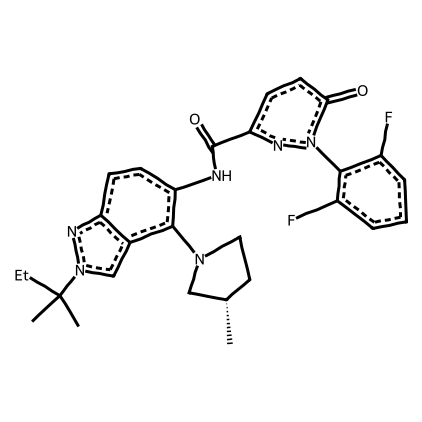 CCC(C)(C)n1cc2c(N3CC[C@H](C)C3)c(NC(=O)c3ccc(=O)n(-c4c(F)cccc4F)n3)ccc2n1